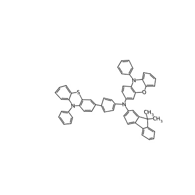 CC1(C)c2ccccc2-c2ccc(N(c3ccc(-c4ccc5c(c4)Sc4ccccc4N5c4ccccc4)cc3)c3ccc4c(c3)Oc3ccccc3N4c3ccccc3)cc21